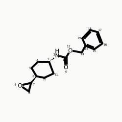 O=C(N[C@H]1CC[C@H](C2CO2)CC1)OCc1ccccc1